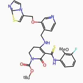 COc1c(F)cccc1NC(=S)C1=C(NCc2ccncc2OCc2csc3nccn23)CCN(C(=O)OC(C)(C)C)C1=O